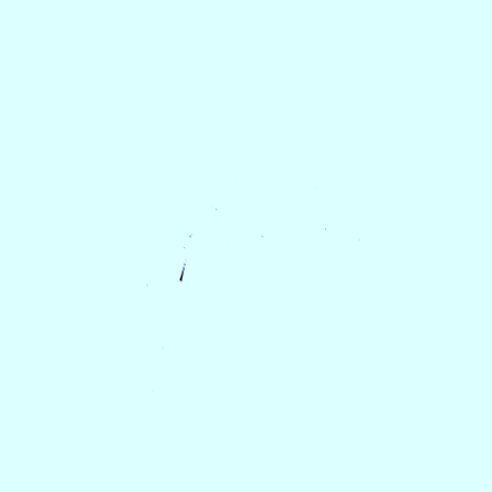 O=CC1O[C@H](c2ccc(Cl)cc2)CN1Cc1ccc(I)cc1